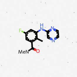 CNC(=O)c1cc(F)cc(Nc2cnccn2)c1C